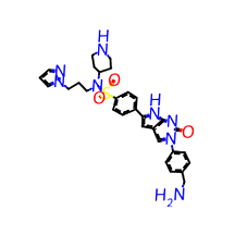 NCc1ccc(-n2cc3cc(-c4ccc(S(=O)(=O)N(CCCn5cccn5)C5CCNCC5)cc4)[nH]c3nc2=O)cc1